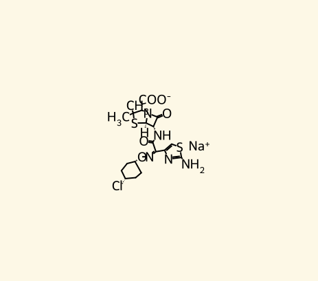 CC1(C)S[C@@H]2[C@@H](NC(=O)/C(=N\O[C@H]3CC[C@@H](Cl)CC3)c3csc(N)n3)C(=O)N2[C@H]1C(=O)[O-].[Na+]